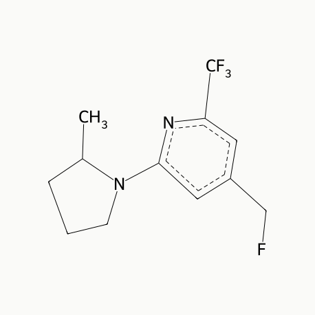 CC1CCCN1c1cc(CF)cc(C(F)(F)F)n1